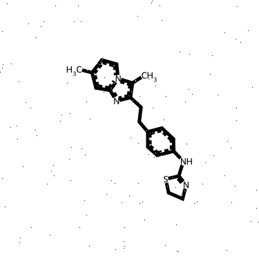 Cc1ccn2c(C)c(CCc3ccc(NC4=NCCS4)cc3)nc2c1